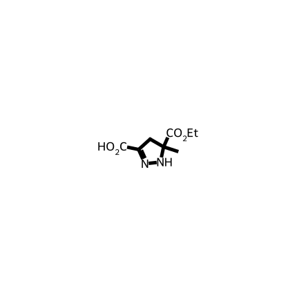 CCOC(=O)C1(C)CC(C(=O)O)=NN1